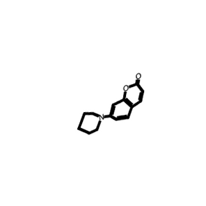 O=c1ccc2ccc(N3CCCCC3)cc2o1